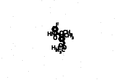 COC(Cc1ccc2c(c1)C(C)(C)OC2=C1C(=O)Nc2ccc(F)cc21)OC